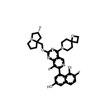 CCc1c(F)ccc2cc(O)cc(-c3ncc4c(N5CCC6(CCO6)CC5)nc(OCC56CCCN5C[C@H](F)C6)nc4c3F)c12